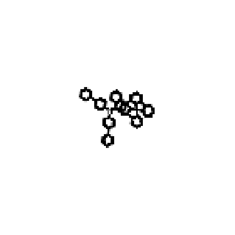 c1ccc(-c2ccc(N(c3ccc(-c4ccccc4)cc3)c3ccc(-c4cccc5c4C4(c6ccccc6-c6ccccc64)c4ccccc4-5)c4ccccc34)cc2)cc1